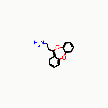 NCCC1=C2CC=CC=C2Oc2ccccc2O1